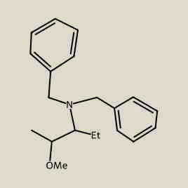 CCC(C(C)OC)N(Cc1ccccc1)Cc1ccccc1